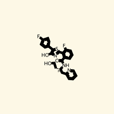 O=C(N[C@@H](CCO)Cc1ccccn1)c1cccc(F)c1-c1nc(O)c(-c2ccc(F)cc2)s1